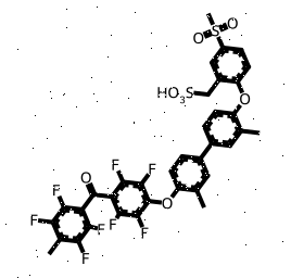 Cc1cc(-c2ccc(Oc3c(F)c(F)c(C(=O)c4c(F)c(F)c(C)c(F)c4F)c(F)c3F)c(C)c2)ccc1Oc1ccc(S(C)(=O)=O)cc1CS(=O)(=O)O